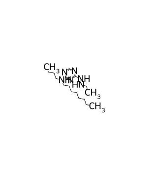 CCCCCCCCNCCCC.CCNNc1ncncn1